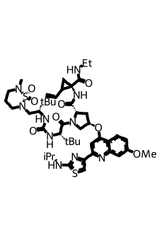 C=CC1C[C@]1(NC(=O)[C@@H]1C[C@@H](Oc2cc(-c3csc(NC(C)C)n3)nc3cc(OC)ccc23)CN1C(=O)[C@@H](NC(=O)N[C@H](CN1CCCN(C)S1(=O)=O)C(C)(C)C)C(C)(C)C)C(=O)NCC